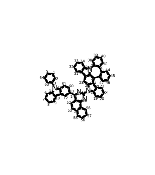 c1ccc(-n2c3ccccc3c3cc(-c4nc(-n5c6ccccc6c6c7c8c(cc65)c5ccccc5n8-c5ccccc5-c5ccccc5-7)nc5c4ccc4ccccc45)ccc32)cc1